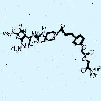 CCCN(CCC)C(=O)COC(=O)COc1ccc(CCC(=O)N2CCC3(CC2)CN/C(=N\C(=O)c2nc(Cl)c(NN=N)nc2NN)N3)cc1